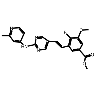 COC(=O)c1cc(C=Cc2cnc(Nc3ccnc(C)c3)nc2)c(F)c(OC)c1